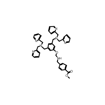 COC(=O)c1ccc(CNCOc2cc(CN(Cc3ccccn3)Cc3ccccn3)cc(CN(Cc3ccccn3)Cc3ccccn3)c2)cc1